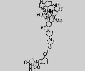 CCc1cc(Nc2ncc(Cl)c(Nc3ccc4nccnc4c3NS(C)(=O)=O)n2)c(OC)cc1N1CCC(N2CCC(OCCOc3cccc4c3CN(C3CCC(=O)NC3=O)C4=O)CC2)CC1